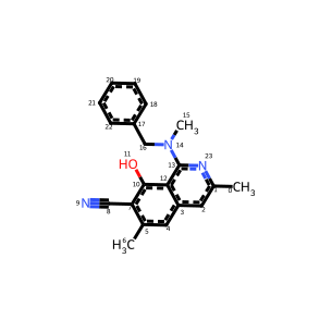 Cc1cc2cc(C)c(C#N)c(O)c2c(N(C)Cc2ccccc2)n1